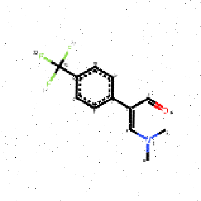 CN(C)C=C(C=O)c1ccc(C(F)(F)F)cc1